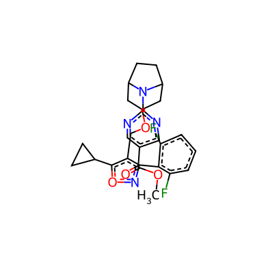 COC(=O)c1cnc(N2C3CCC2CC(OCc2c(-c4c(F)cccc4F)noc2C2CC2)C3)nc1